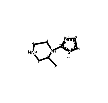 CC1CNCCN1c1nccs1